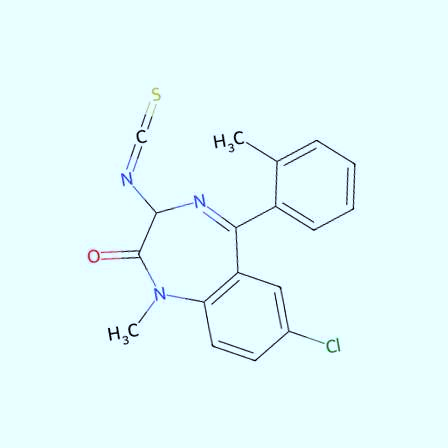 Cc1ccccc1C1=NC(N=C=S)C(=O)N(C)c2ccc(Cl)cc21